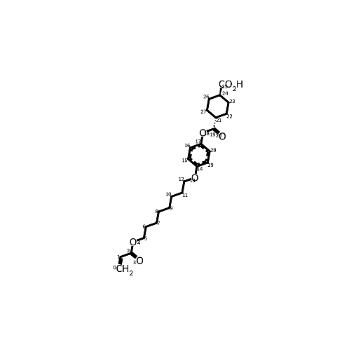 C=CC(=O)OCCCCCCCCOc1ccc(OC(=O)[C@H]2CC[C@H](C(=O)O)CC2)cc1